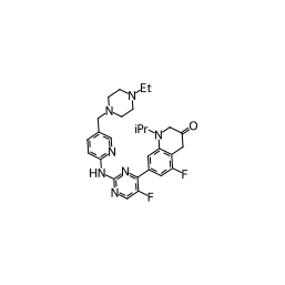 CCN1CCN(Cc2ccc(Nc3ncc(F)c(-c4cc(F)c5c(c4)N(C(C)C)CC(=O)C5)n3)nc2)CC1